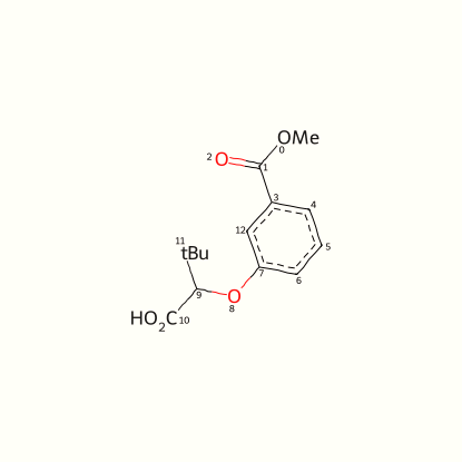 COC(=O)c1cccc(OC(C(=O)O)C(C)(C)C)c1